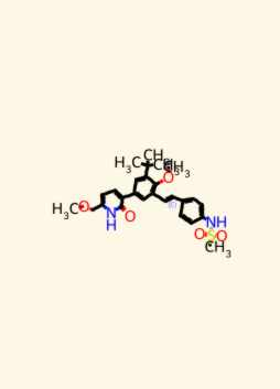 COCc1ccc(-c2cc(/C=C/c3ccc(NS(C)(=O)=O)cc3)c(OC)c(C(C)(C)C)c2)c(=O)[nH]1